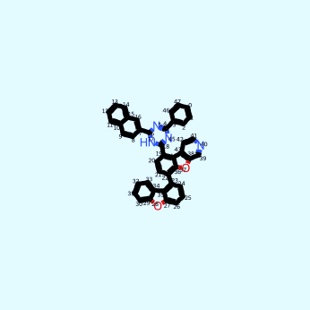 c1ccc(C2=NC(c3ccc4ccccc4c3)NC(c3ccc(-c4cccc5oc6ccccc6c45)c4oc5cnccc5c34)=N2)cc1